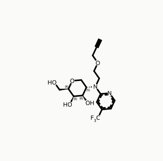 C#CCOCCN(c1cc(C(F)(F)F)ccn1)[C@H]1CO[C@H](CO)[C@H](O)[C@@H]1O